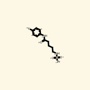 CC(C)S(=O)(=O)NCCCCC(=O)Nc1ccc(F)cc1